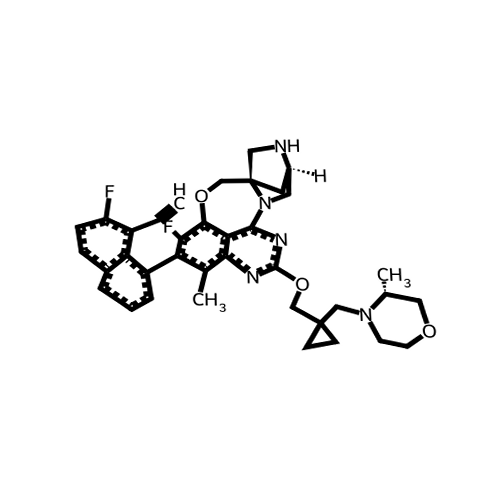 C#Cc1c(F)ccc2cccc(-c3c(F)c4c5c(nc(OCC6(CN7CCOC[C@H]7C)CC6)nc5c3C)N3C[C@H]5C[C@@]3(CN5)CO4)c12